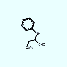 COCC(C=O)Nc1cc[c]cc1